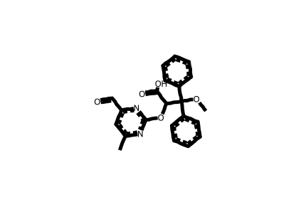 COC(c1ccccc1)(c1ccccc1)C(Oc1nc(C)cc(C=O)n1)C(=O)O